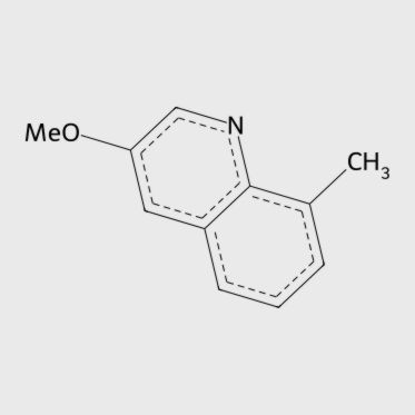 COc1cnc2c(C)cccc2c1